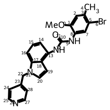 COc1cc(C)c(Br)cc1NC(=O)Nc1cccc2c1ccn2Cc1ccncc1